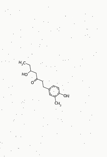 CCC(O)CC(=O)CCc1ccc(O)c(C)c1